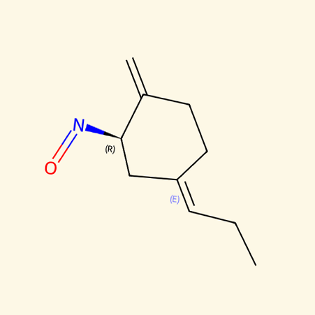 C=C1CC/C(=C\CC)C[C@H]1N=O